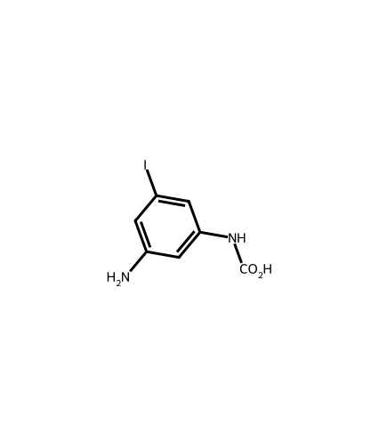 Nc1cc(I)cc(NC(=O)O)c1